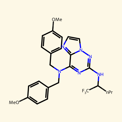 CCCC(Nc1nc(N(Cc2ccc(OC)cc2)Cc2ccc(OC)cc2)c2nccn2n1)C(F)(F)F